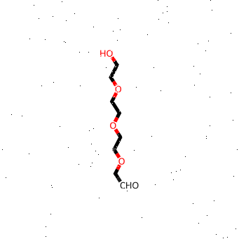 O=CCOCCOCCOCCO